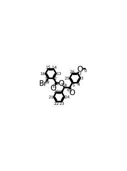 COc1ccc(C(=O)C(OC(=O)c2ccccc2Br)c2ccccc2)cc1